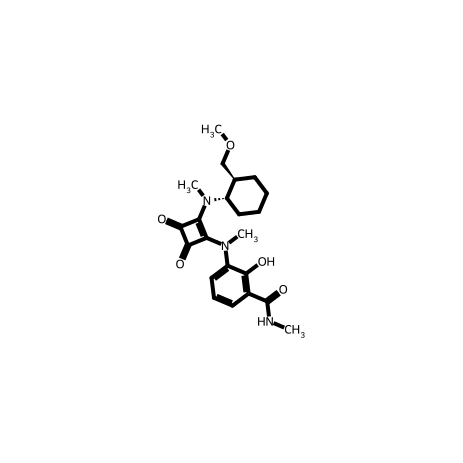 CNC(=O)c1cccc(N(C)c2c(N(C)[C@H]3CCCC[C@@H]3COC)c(=O)c2=O)c1O